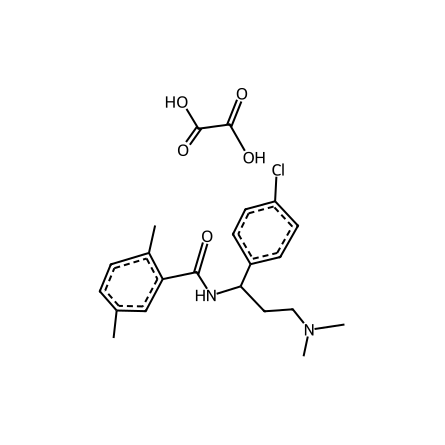 Cc1ccc(C)c(C(=O)NC(CCN(C)C)c2ccc(Cl)cc2)c1.O=C(O)C(=O)O